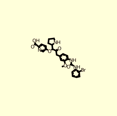 COc1cc(CC(=O)C(Oc2ccc(C(=O)O)nc2)C2CCCN2)ccc1NC(=O)Nc1ccccc1Br